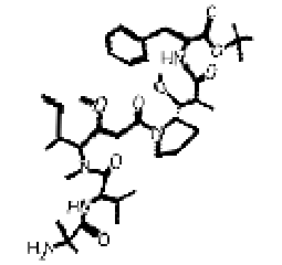 CCC(C)C(C(CC(=O)N1CCC[C@H]1C(OC)C(C)C(=O)NC(Cc1ccccc1)C(=O)OC(C)(C)C)OC)N(C)C(=O)C(NC(=O)C(C)(C)N)C(C)C